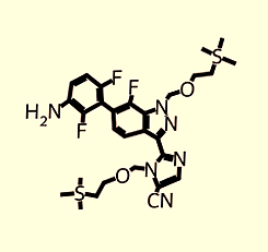 CS(C)(C)CCOCn1c(C#N)cnc1-c1nn(COCCS(C)(C)C)c2c(F)c(-c3c(F)ccc(N)c3F)ccc12